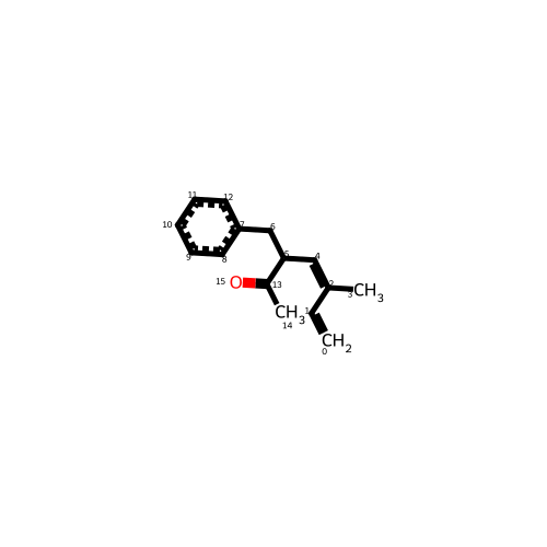 C=CC(C)=CC(Cc1ccccc1)C(C)=O